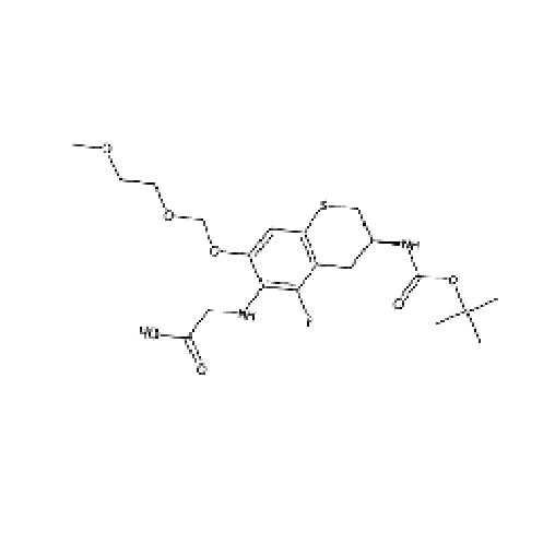 COCCOCOc1cc2c(c(F)c1NCC(=O)O)C[C@H](NC(=O)OC(C)(C)C)CS2